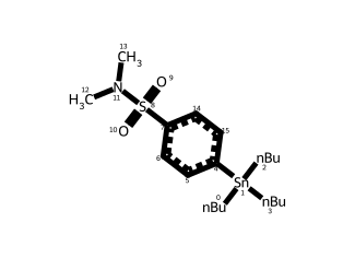 CCC[CH2][Sn]([CH2]CCC)([CH2]CCC)[c]1ccc(S(=O)(=O)N(C)C)cc1